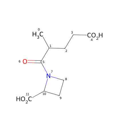 CC(CCC(=O)O)C(=O)N1CCC1C(=O)O